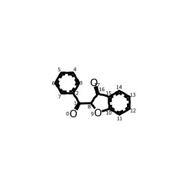 O=C(c1ccccc1)C1Oc2ccccc2C1=O